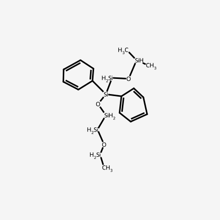 C[SiH2]O[SiH2][SiH2]O[Si]([SiH2]O[SiH](C)C)(c1ccccc1)c1ccccc1